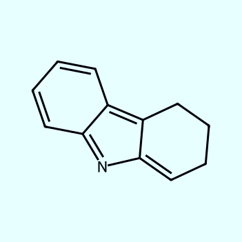 C1=C2N=c3ccccc3=C2CCC1